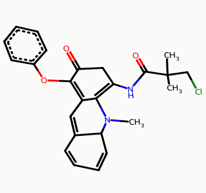 CN1C2=C(NC(=O)C(C)(C)CCl)CC(=O)C(Oc3ccccc3)=C2C=C2C=CC=CC21